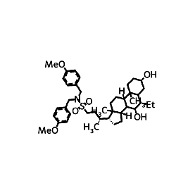 CC[C@@H]1C2C[C@H](O)CCC2(C)[C@H]2CCC3(C)[C@@H]([C@H](C)CCS(=O)(=O)N(Cc4ccc(OC)cc4)Cc4ccc(OC)cc4)CC[C@H]3C2[C@@H]1O